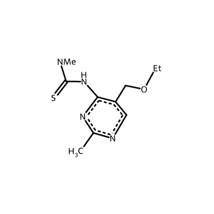 CCOCc1cnc(C)nc1NC(=S)NC